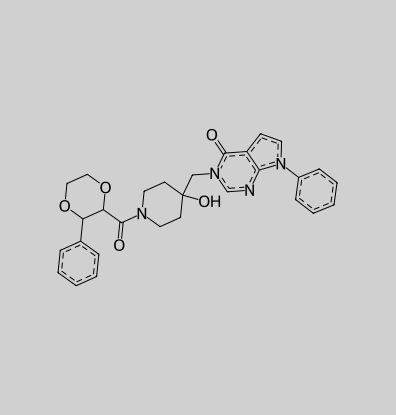 O=C(C1OCCOC1c1ccccc1)N1CCC(O)(Cn2cnc3c(ccn3-c3ccccc3)c2=O)CC1